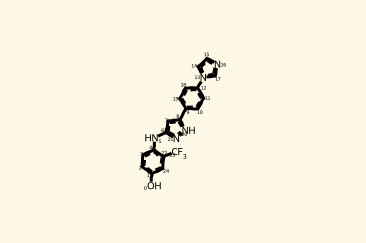 Oc1ccc(Nc2cc(-c3ccc(-n4ccnc4)cc3)[nH]n2)c(C(F)(F)F)c1